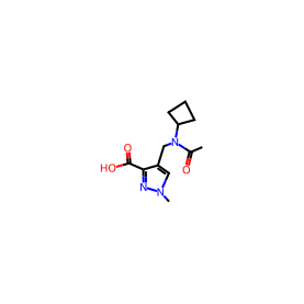 CC(=O)N(Cc1cn(C)nc1C(=O)O)C1CCC1